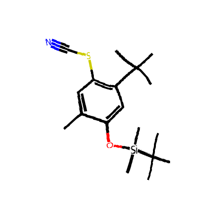 Cc1cc(SC#N)c(C(C)(C)C)cc1O[Si](C)(C)C(C)(C)C